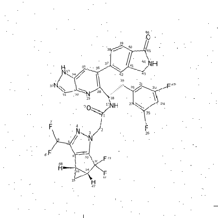 O=C(Cn1nc(C(F)F)c2c1C(F)(F)[C@@H]1C[C@H]21)N[C@@H](Cc1cc(F)cc(F)c1)c1nc2cn[nH]c2cc1-c1ccc2c(c1)CNC2=O